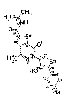 CC=NN(C(=O)c1ccc(C(=O)NC(C)C)s1)c1csc(-c2ccc(Br)cc2)c1O